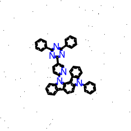 c1ccc(-c2nc(-c3ccccc3)nc(-c3ccc(-n4c5ccccc5c5ccc6c(c7ccccc7n6-c6ccccc6)c54)nc3)n2)cc1